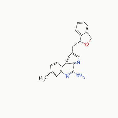 Cc1ccc2c(c1)nc(N)c1ncc(CC3OCc4ccccc43)cc12